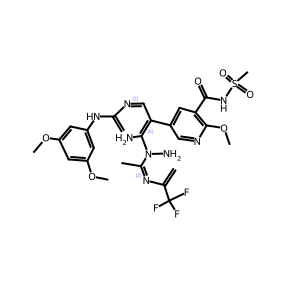 C=C(/N=C\C(=C(/N)N(N)/C(C)=N\C(=C)C(F)(F)F)c1cnc(OC)c(C(=O)NS(C)(=O)=O)c1)Nc1cc(OC)cc(OC)c1